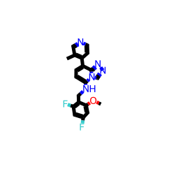 COc1cc(F)cc(F)c1CNc1ccc(-c2ccncc2C)c2nncn12